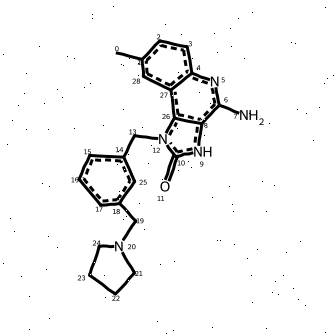 Cc1ccc2nc(N)c3[nH]c(=O)n(Cc4cccc(CN5CCCC5)c4)c3c2c1